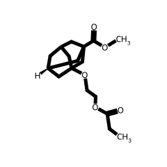 CCC(=O)OCCOC12CC3C[C@@H](C1)CC(C(=O)OC)(C3)C2